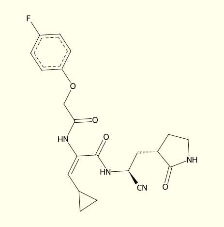 N#C[C@H](C[C@@H]1CCNC1=O)NC(=O)C(=CC1CC1)NC(=O)COc1ccc(F)cc1